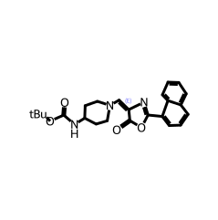 CC(C)(C)OC(=O)NC1CCN(/C=C2/N=C(c3cccc4ccccc34)OC2=O)CC1